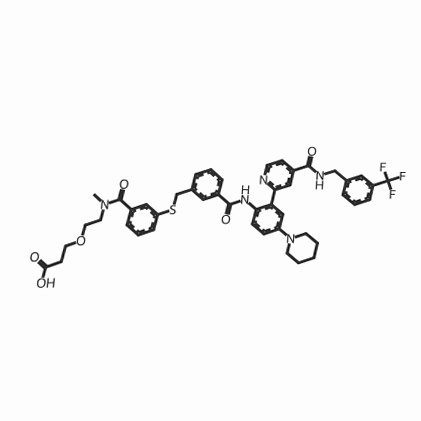 CN(CCOCCC(=O)O)C(=O)c1cccc(SCc2cccc(C(=O)Nc3ccc(N4CCCCC4)cc3-c3cc(C(=O)NCc4cccc(C(F)(F)F)c4)ccn3)c2)c1